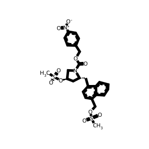 CS(=O)(=O)OCc1ccc(C[C@@H]2C[C@@H](OS(C)(=O)=O)CN2C(=O)OCc2ccc([N+](=O)[O-])cc2)c2ccccc12